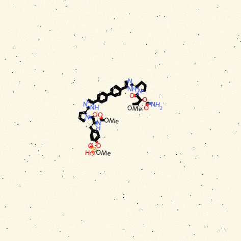 COC(=O)N[C@@H](Cc1ccc(OP(=O)(O)OC)cc1)C(=O)N1CCC[C@H]1c1ncc(-c2ccc(-c3ccc(-c4cnc([C@@H]5CCCN5C(=O)[C@@H](OC(N)=O)[C@@H](C)OC)[nH]4)cc3)cc2)[nH]1